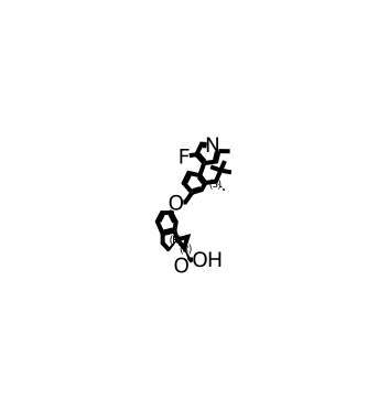 Cc1cc(-c2ccc(COc3ccc4c(c3)[C@]3(CC4)C[C@H]3C(=O)O)cc2[C@@H](C)C(C)(C)C)c(F)cn1